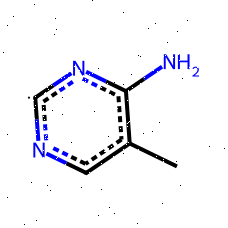 Cc1cn[c]nc1N